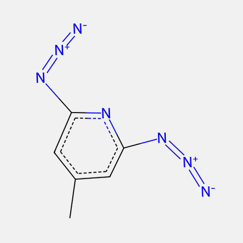 Cc1cc(N=[N+]=[N-])nc(N=[N+]=[N-])c1